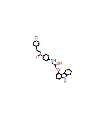 O=C(C=Cc1ccc(Cl)cc1)c1ccc(NCC(O)COc2cccc3[nH]c4ccccc4c23)cc1